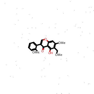 COCc1c(OC)cc2occ(-c3ccccc3OC)c(=O)c2c1O